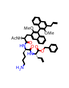 C=CCc1cc2ccccc2c(-c2c(OC)c(CC(NC(C)=O)C(=O)N[C@H](CCCCN)C(=O)N[C@@H](CC=C)C(=O)OCc3ccccc3)cc3ccccc23)c1OC